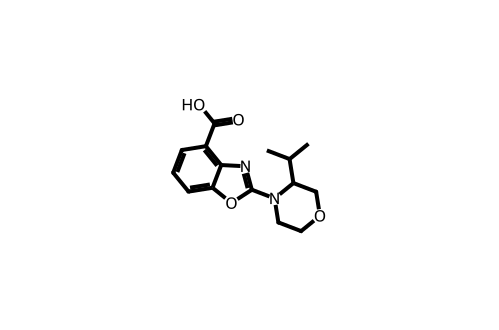 CC(C)C1COCCN1c1nc2c(C(=O)O)cccc2o1